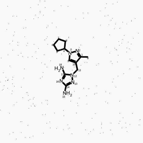 Cc1nn(C2CCCC2)cc1Cn1nc(N)nc1N